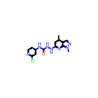 Cc1cc(NNC(=O)Nc2ccnc(Cl)c2)nc2c1cnn2C